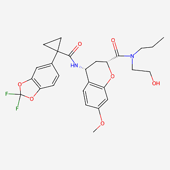 CCCN(CCO)C(=O)[C@H]1C[C@@H](NC(=O)C2(c3ccc4c(c3)OC(F)(F)O4)CC2)c2ccc(OC)cc2O1